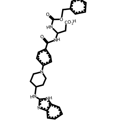 O=C(O)CC(NC(=O)OCc1ccccc1)NC(=O)c1ccc(N2CCC(Nc3nc4ccccc4[nH]3)CC2)cc1